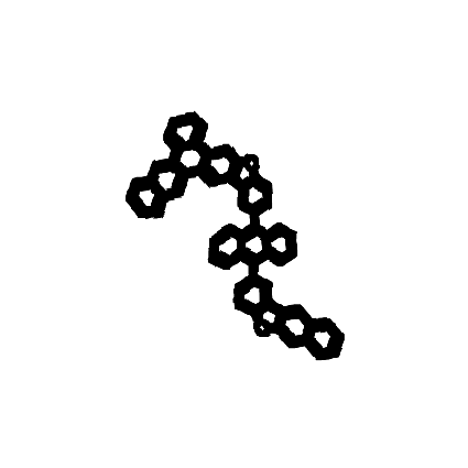 c1ccc2cc3c(cc2c1)oc1ccc(-c2c4ccccc4c(-c4ccc5oc6cc7c8ccccc8c8cc9ccccc9cc8c7cc6c5c4)c4ccccc24)cc13